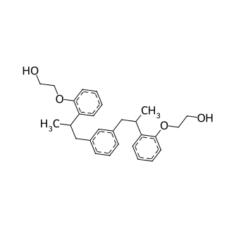 CC(Cc1cccc(CC(C)c2ccccc2OCCO)c1)c1ccccc1OCCO